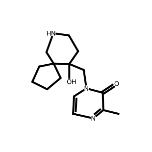 Cc1nccn(CC2(O)CCNCC23CCCC3)c1=O